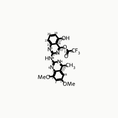 COc1cc(OC)c2nc(Nc3nc(OC(=O)C(F)(F)F)c4c(O)cccc4n3)nc(C)c2c1